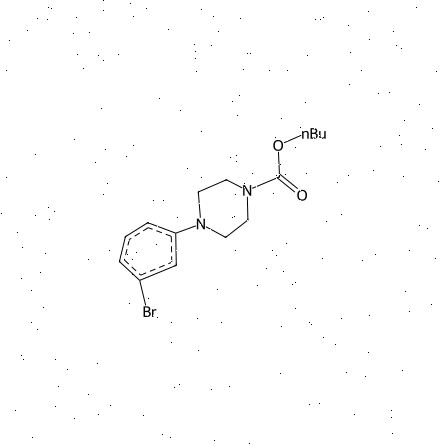 CCCCOC(=O)N1CCN(c2cccc(Br)c2)CC1